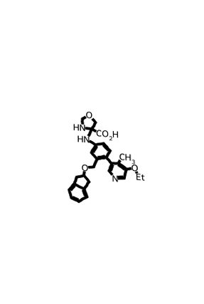 CCOc1cncc(-c2ccc(NC3(C(=O)O)COCN3)cc2COC2Cc3ccccc3C2)c1C